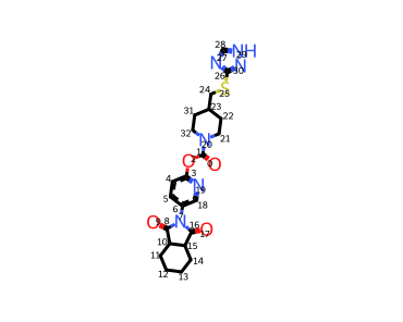 O=C(Oc1ccc(N2C(=O)C3CCCCC3C2=O)cn1)N1CCC(CSc2nc[nH]n2)CC1